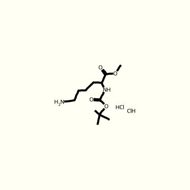 COC(=O)C(CCCCN)NC(=O)OC(C)(C)C.Cl.Cl